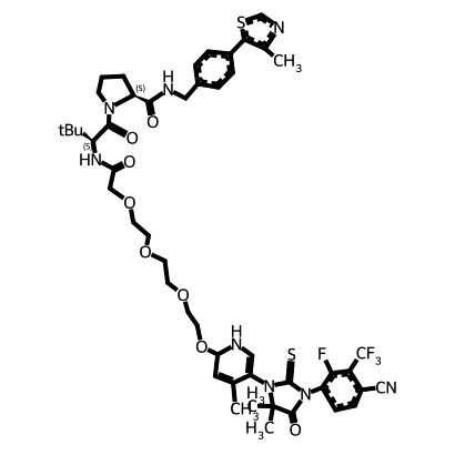 CC1=CC(OCCOCCOCCOCC(=O)N[C@H](C(=O)N2CCC[C@H]2C(=O)NCc2ccc(-c3scnc3C)cc2)C(C)(C)C)NC=C1N1C(=S)N(c2ccc(C#N)c(C(F)(F)F)c2F)C(=O)C1(C)C